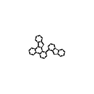 C1=c2ccccc2=c2c1c1c(=c3cccc4c3=Cc3ccccc3-4)cccc1c1ccccc21